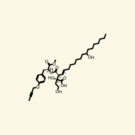 CC#CCOc1ccc(C[C@H](NC(=O)[C@@H](/C=C/CCCCCCC(O)CCCCCCC)[C@@](O)(CCO)C(=O)O)C(=O)OC)cc1